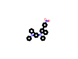 O=[N+]([O-])c1ccc(-c2ccc(N(c3ccccc3)c3ccc4c(c3)C3C=CC=CC3N4c3ccccc3)c3ccccc23)cc1